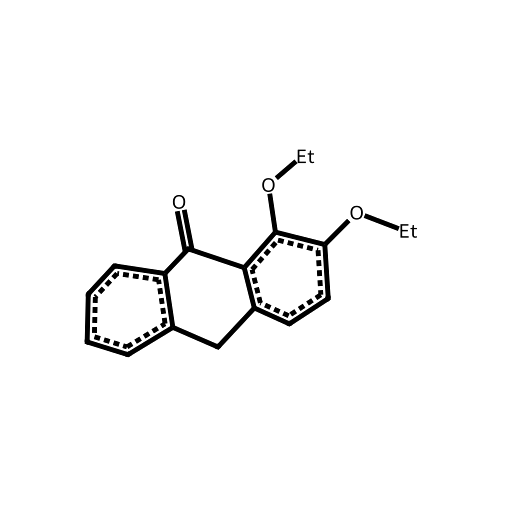 CCOc1ccc2c(c1OCC)C(=O)c1ccccc1C2